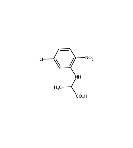 CC(Nc1cc(Cl)ccc1[N+](=O)[O-])C(=O)O